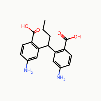 CCCC(c1cc(N)ccc1C(=O)O)c1cc(N)ccc1C(=O)O